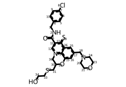 O=C(NCc1ccc(Cl)cc1)c1cn2c3c(cc(CN4CCOCC4)cc3c1=S)OC(CSCCO)C2